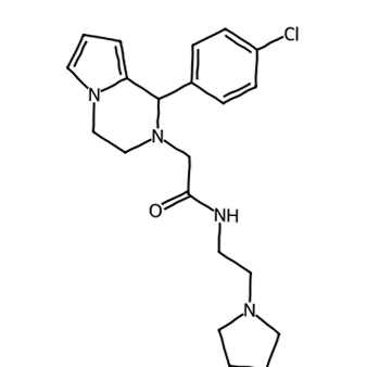 O=C(CN1CCn2cccc2C1c1ccc(Cl)cc1)NCCN1CCCC1